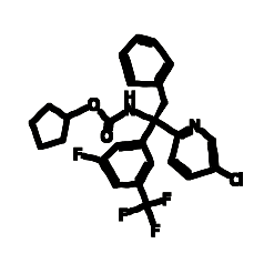 O=C(N[C@@](Cc1ccccc1)(c1cc(F)cc(C(F)(F)F)c1)c1ccc(Cl)cn1)OC1CCCC1